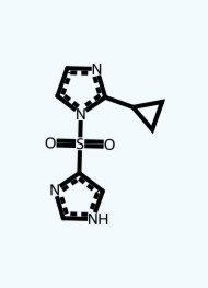 O=S(=O)(c1c[nH]cn1)n1ccnc1C1CC1